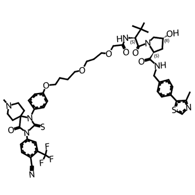 Cc1ncsc1-c1ccc(CNC(=O)[C@@H]2C[C@@H](O)CN2C(=O)[C@@H](NC(=O)COCCCOCCCCOc2ccc(N3C(=S)N(c4ccc(C#N)c(C(F)(F)F)c4)C(=O)C34CCN(C)CC4)cc2)C(C)(C)C)cc1